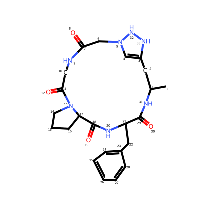 CC1CC2=CN(CC(=O)NCC(=O)N3CCCC3C(=O)NC(Cc3ccccc3)C(=O)N1)NN2